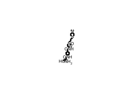 CN(C)C1CCN(CCCCn2ccc(NC(=O)c3ccc(NC(=O)[C@@](C)(N)CO)cc3)nc2=O)CC1